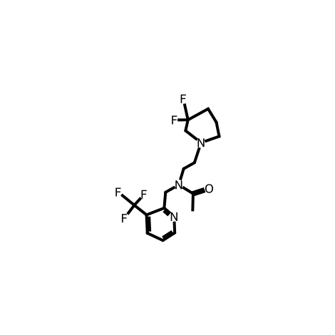 CC(=O)N(CCN1CCCC(F)(F)C1)Cc1ncccc1C(F)(F)F